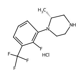 C[C@@H]1CNCCN1c1cccc(C(F)(F)F)c1F.Cl